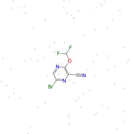 N#Cc1nc(Br)cnc1OC(F)F